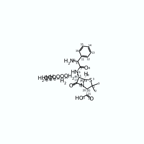 CC1(C)S[C@@H]2[C@H](NC(=O)C(N)c3ccccc3)C(=O)N2[C@H]1C(=O)O.O.O.O.O.O.O